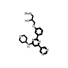 CNCC(O)COc1cccc(-c2nc(NC3CCOCC3)cc(-c3cncnc3)n2)c1